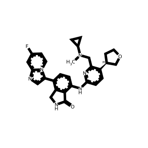 CN(Cc1nc(Nc2ccc(-c3cnc4cc(F)ccn34)c3c2C(=O)NC3)ccc1[C@H]1CCOC1)C1CC1